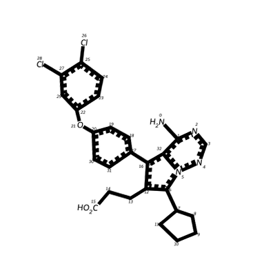 Nc1ncnn2c(C3CCCC3)c(CCC(=O)O)c(-c3ccc(Oc4ccc(Cl)c(Cl)c4)cc3)c12